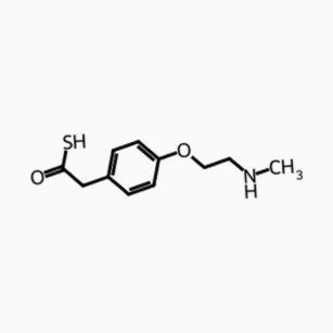 CNCCOc1ccc(CC(=O)S)cc1